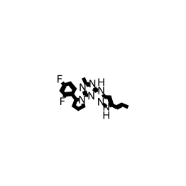 C/C=C/c1cc(Nc2nc(C)nc(N3CCCC3c3ccc(F)cc3F)n2)n[nH]1